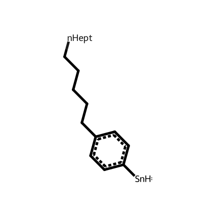 CCCCCCCCCCCCc1cc[c]([SnH])cc1